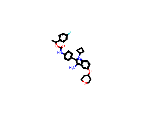 CC(OC(=O)Nc1ccc(-c2c(N)c3cc(OC4CCOCC4)ccc3n2C2CCC2)cc1)c1ccc(F)cc1